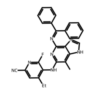 CCc1cc(C#N)nc(F)c1Nc1nc(N=C(c2ccccc2)c2ccccc2)c2nc[nH]c2c1C